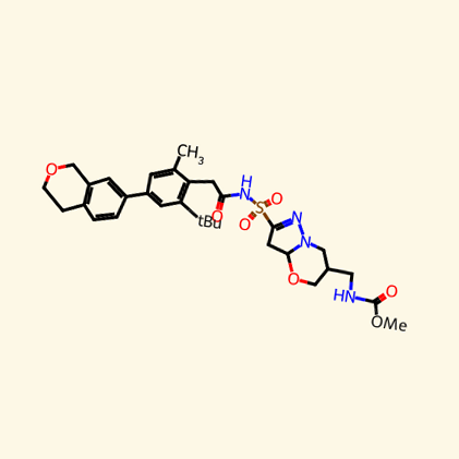 COC(=O)NCC1COC2CC(S(=O)(=O)NC(=O)Cc3c(C)cc(-c4ccc5c(c4)COCC5)cc3C(C)(C)C)=NN2C1